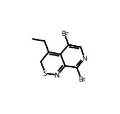 CCC1=c2c(Br)cnc(Br)c2=NSC1